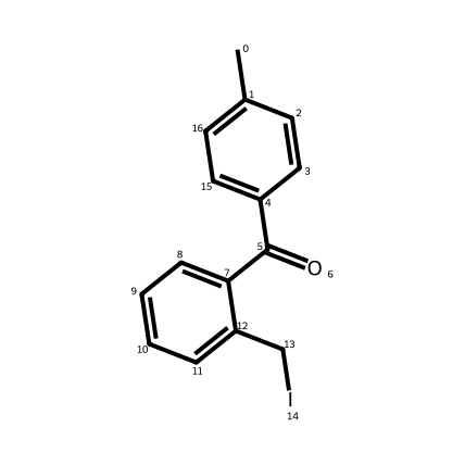 Cc1ccc(C(=O)c2ccccc2CI)cc1